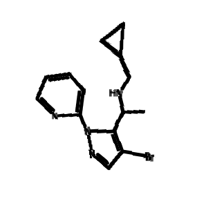 CC(NCC1CC1)c1c(Br)cnn1-c1ccccn1